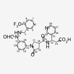 O=CN(NCc1ccccc1C(F)(F)F)c1cccc(N2CC(C(=O)NC(CC(=O)O)c3cccnc3)CC2=O)c1